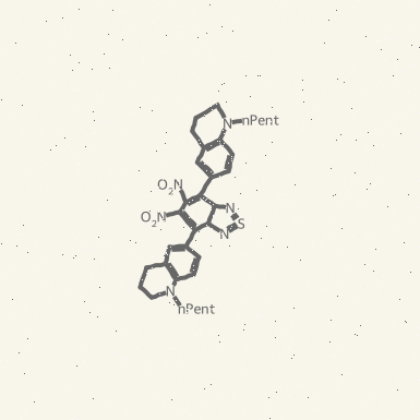 CCCCCN1CCCc2cc(C3=C([N+](=O)[O-])C([N+](=O)[O-])=C(c4ccc5c(c4)CCCN5CCCCC)C4N=S=NC34)ccc21